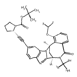 [2H]C([2H])([2H])N1C(=O)c2cccc(OC(F)F)c2[C@H]2C[C@@H]1c1nc3ccc(C#C[C@@H]4CCCN4C(=O)OC(C)(C)C)cc3n12